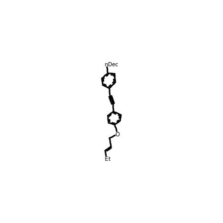 CCC=CCOc1ccc(C#Cc2ccc(CCCCCCCCCC)cc2)cc1